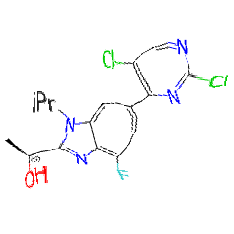 CC(C)n1c([C@H](C)O)nc2c(F)cc(-c3nc(Cl)ncc3Cl)cc21